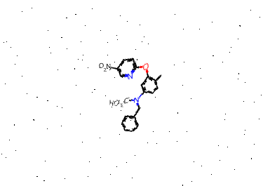 Cc1ccc(N(Cc2ccccc2)C(=O)O)cc1Oc1ccc([N+](=O)[O-])cn1